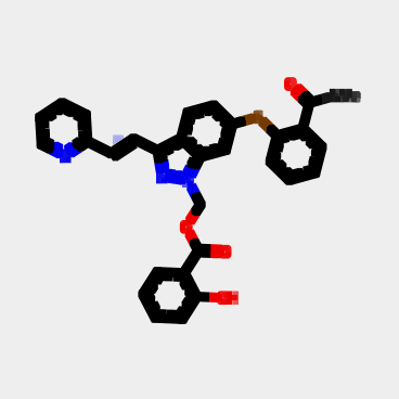 CNC(=O)c1ccccc1Sc1ccc2c(/C=C/c3ccccn3)nn(COC(=O)c3ccccc3O)c2c1